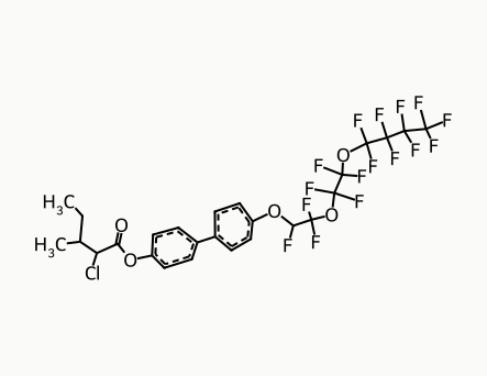 CCC(C)C(Cl)C(=O)Oc1ccc(-c2ccc(OC(F)C(F)(F)OC(F)(F)C(F)(F)OC(F)(F)C(F)(F)C(F)(F)C(F)(F)F)cc2)cc1